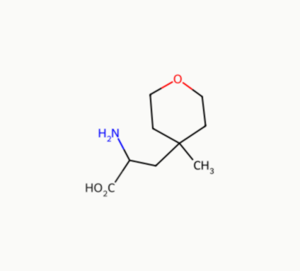 CC1(CC(N)C(=O)O)CCOCC1